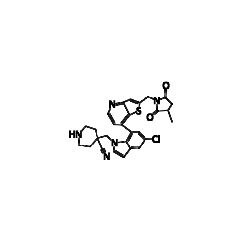 CC1CC(=O)N(Cc2cc3nccc(-c4cc(Cl)cc5ccn(CC6(C#N)CCNCC6)c45)c3s2)C1=O